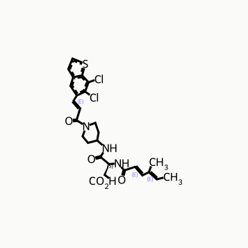 C/C=C(C)/C=C/C(=O)N[C@@H](CC(=O)O)C(=O)NC1CCN(C(=O)/C=C/c2cc3ccsc3c(Cl)c2Cl)CC1